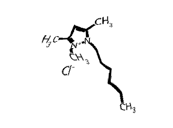 CCCCCCn1c(C)cc(C)[n+]1C.[Cl-]